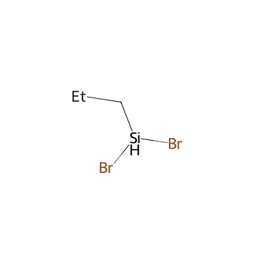 CCC[SiH](Br)Br